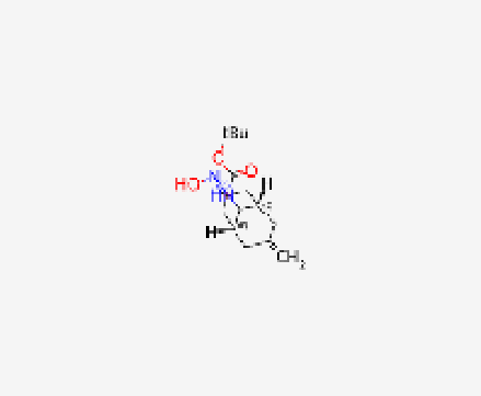 C=C1C[C@@H]2C/C(=N\O)C[C@H](C1)C2NC(=O)OC(C)(C)C